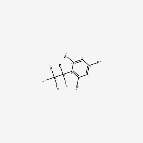 Fc1cc(Br)c(C(F)(F)C(F)(F)F)c(Br)c1